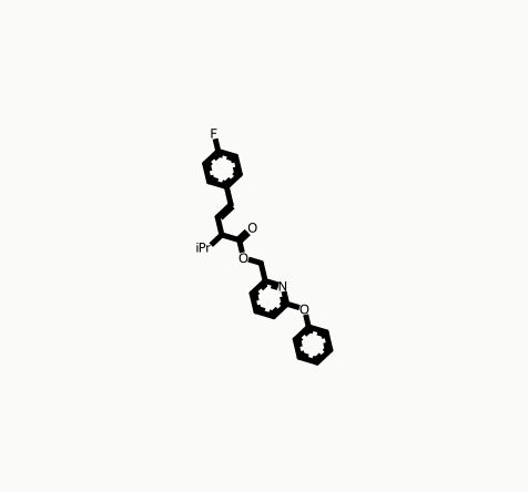 CC(C)C(/C=C/c1ccc(F)cc1)C(=O)OCc1cccc(Oc2ccccc2)n1